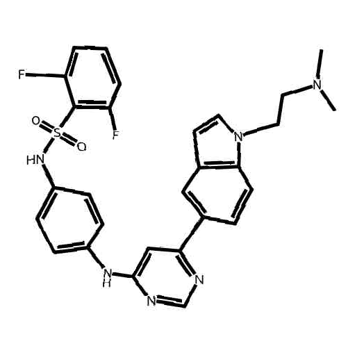 CN(C)CCn1ccc2cc(-c3cc(Nc4ccc(NS(=O)(=O)c5c(F)cccc5F)cc4)ncn3)ccc21